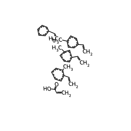 C=CC(=O)O.C=Cc1ccc(C)cc1.C=Cc1cccc(C)c1.C=Cc1ccccc1.C=Cc1ccccc1C